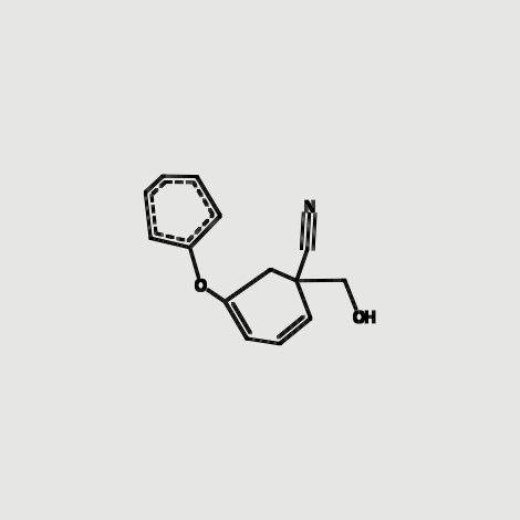 N#CC1(CO)C=CC=C(Oc2ccccc2)C1